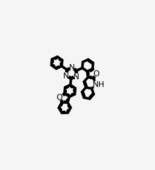 C1=CC2=Cc3c(oc4c3C(c3nc(-c5ccccc5)nc(-c5ccc6c(c5)oc5ccccc56)n3)CC=C4)NC2C=C1